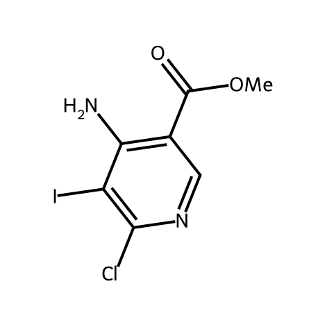 COC(=O)c1cnc(Cl)c(I)c1N